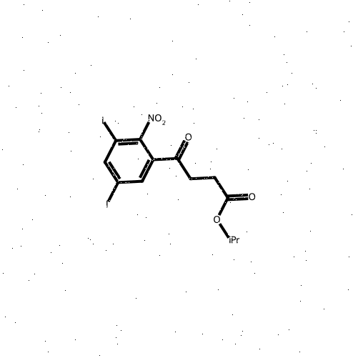 CC(C)OC(=O)CCC(=O)c1cc(I)cc(I)c1[N+](=O)[O-]